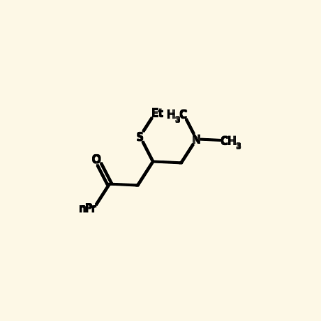 CCCC(=O)CC(CN(C)C)SCC